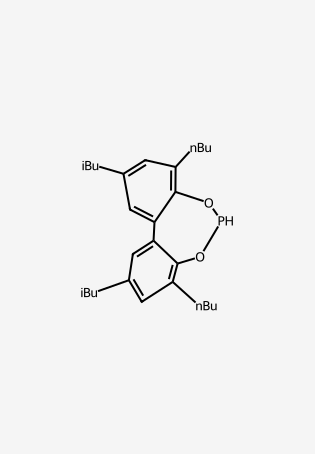 CCCCc1cc(C(C)CC)cc2c1o[pH]oc1c(CCCC)cc(C(C)CC)cc12